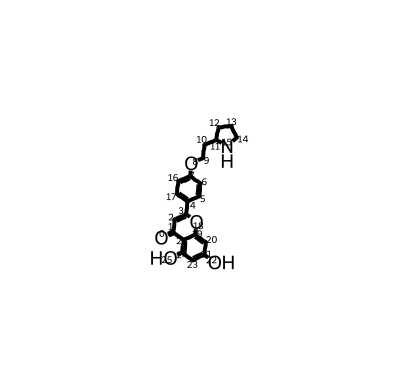 O=c1cc(-c2ccc(OCCC3CCCN3)cc2)oc2cc(O)cc(O)c12